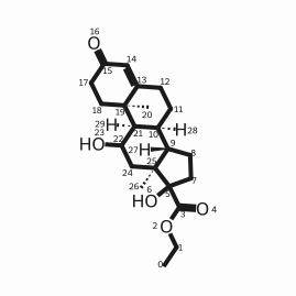 CCOC(=O)C1(O)CC[C@H]2[C@@H]3CCC4=CC(=O)CC[C@]4(C)[C@@H]3C(O)C[C@@]21C